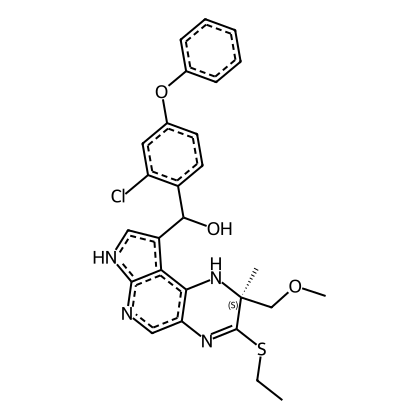 CCSC1=Nc2cnc3[nH]cc(C(O)c4ccc(Oc5ccccc5)cc4Cl)c3c2N[C@@]1(C)COC